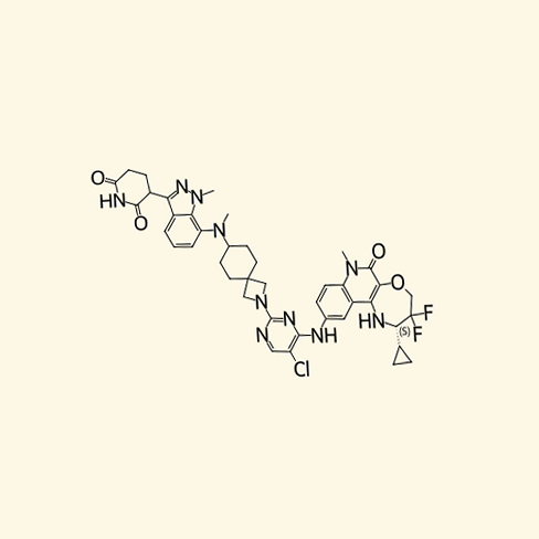 CN(c1cccc2c(C3CCC(=O)NC3=O)nn(C)c12)C1CCC2(CC1)CN(c1ncc(Cl)c(Nc3ccc4c(c3)c3c(c(=O)n4C)OCC(F)(F)[C@H](C4CC4)N3)n1)C2